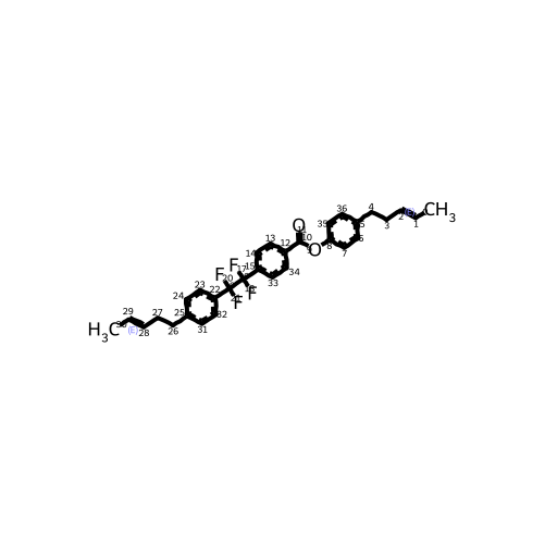 C/C=C/CCc1ccc(OC(=O)c2ccc(C(F)(F)C(F)(F)c3ccc(CC/C=C/C)cc3)cc2)cc1